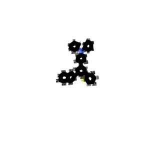 c1ccc(N(c2ccccc2)c2ccc(-c3cc(-c4ccc5ccccc5c4)c4sc5ccccc5c4c3)cc2)cc1